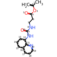 C=C(C)OC(=O)CCNC(=O)Nc1cccc2cccnc12